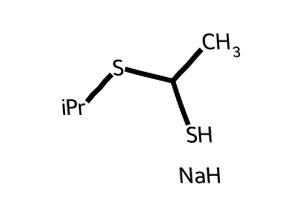 CC(C)SC(C)S.[NaH]